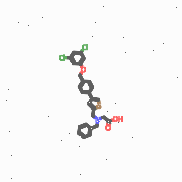 O=C(O)CN(Cc1ccccc1)Cc1cc(-c2ccc(COc3cc(Cl)cc(Cl)c3)cc2)cs1